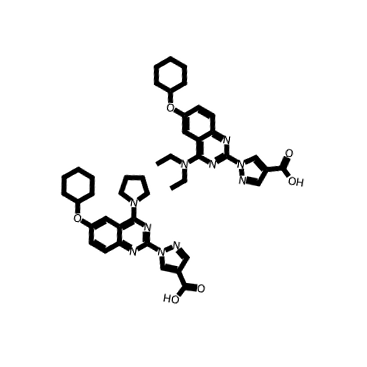 CCN(CC)c1nc(-n2cc(C(=O)O)cn2)nc2ccc(OC3CCCCC3)cc12.O=C(O)c1cnn(-c2nc(N3CCCC3)c3cc(OC4CCCCC4)ccc3n2)c1